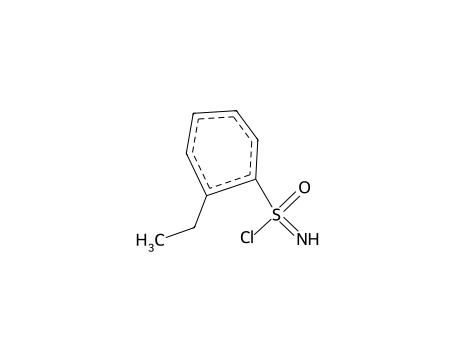 CCc1ccccc1S(=N)(=O)Cl